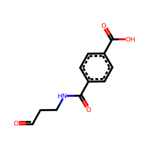 O=[C]CCNC(=O)c1ccc(C(=O)O)cc1